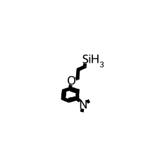 CN(C)c1cccc(OCCC[SiH3])c1